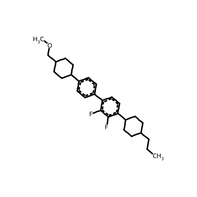 CCCC1CCC(c2ccc(-c3ccc(C4CCC(COC)CC4)cc3)c(F)c2F)CC1